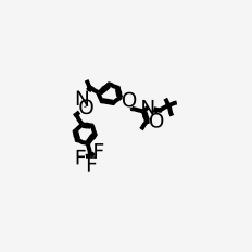 CC(=NOCc1ccc(C(F)(F)F)cc1)c1ccc(OCc2nc(C(C)(C)C)oc2C)cc1